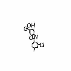 CC1=CC(Cl)=CC(c2nc3ccc(C(=O)O)cc3o2)=CC1